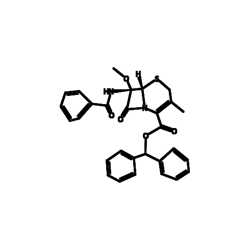 CO[C@@]1(NC(=O)c2ccccc2)C(=O)N2C(C(=O)OC(c3ccccc3)c3ccccc3)=C(C)CS[C@H]21